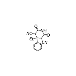 CCC1(c2ccccc2)C(C#N)C(=O)NC(=O)C1C#N